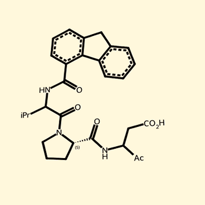 CC(=O)C(CC(=O)O)NC(=O)[C@@H]1CCCN1C(=O)C(NC(=O)c1cccc2c1-c1ccccc1C2)C(C)C